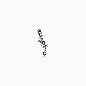 CN1CCN(CCCNC(=O)c2ccc3c(c2)NC(=O)/C3=N\NC(=O)Cc2ccc3c(c2)CCO3)CC1